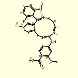 C/C=C1/C/N=C(Nc2ccc(C(=O)O)c(OC)c2)\N=C/CC\N=C(c2c(F)cccc2OC)/C1=C/CCl